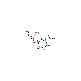 C=CC(=O)OC1C=C(C=C)CCC1